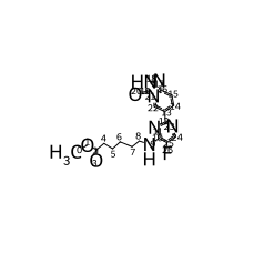 COC(=O)CCCCCNc1nc(-c2ccc3n[nH]c(=O)n3c2)ncc1F